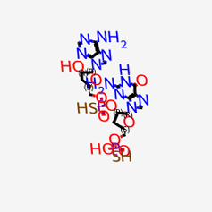 Nc1nc2c(ncn2[C@@H]2O[C@H](COP(=O)(O)S)C[C@H]2OP(=O)(S)OC[C@@H]2C[C@@H](O)[C@H](n3cnc4c(N)ncnc43)O2)c(=O)[nH]1